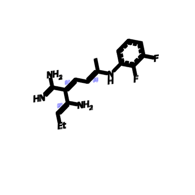 CC/C=C(N)/C(=C\C=C(/C)Nc1cccc(F)c1F)C(=N)N